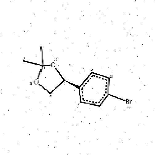 CC1(C)OC[C@H](c2ccc(Br)cc2)O1